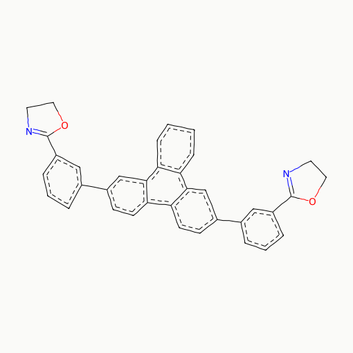 c1cc(C2=NCCO2)cc(-c2ccc3c4ccc(-c5cccc(C6=NCCO6)c5)cc4c4ccccc4c3c2)c1